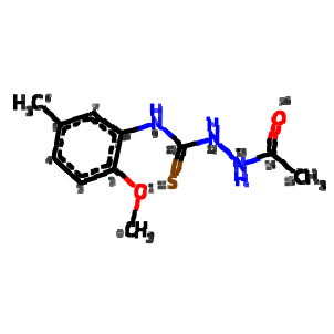 COc1ccc(C)cc1NC(=S)NNC(C)=O